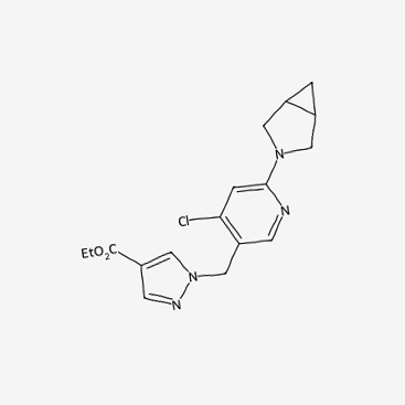 CCOC(=O)c1cnn(Cc2cnc(N3CC4CC4C3)cc2Cl)c1